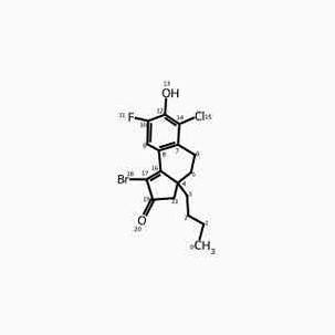 CCCCC12CCc3c(cc(F)c(O)c3Cl)C1=C(Br)C(=O)C2